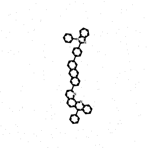 c1ccc(-c2c3ccccc3nc3c2ccc2ccc(-c4ccc5cc6cc(-c7ccc(-c8nc9ccccc9n8-c8ccccc8)cc7)ccc6cc5c4)nc23)cc1